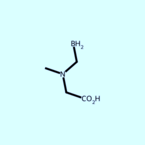 BCN(C)CC(=O)O